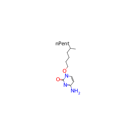 CCCCCC(C)CCCCOn1ccc(N)nc1=O